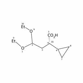 CCOC(C[C@H](C(=O)O)C1CC1)OCC